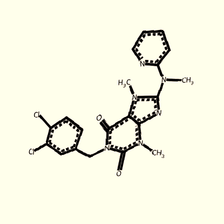 CN(c1ccccn1)c1nc2c(c(=O)n(Cc3ccc(Cl)c(Cl)c3)c(=O)n2C)n1C